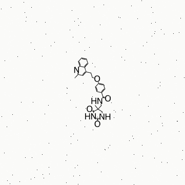 Cc1cc(CCOc2ccc(C(=O)NCC3(C)CNC(=O)NC3=O)cc2)c2ccccc2n1